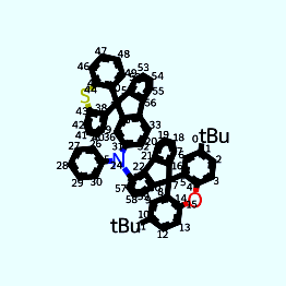 CC(C)(C)c1ccc2c(c1)C1(c3cc(C(C)(C)C)ccc3O2)c2ccccc2-c2c(N(c3ccccc3)c3ccc4c(c3)C3(c5ccccc5Sc5ccccc53)c3ccccc3-4)cccc21